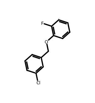 Fc1[c]cccc1OCc1cccc(Cl)c1